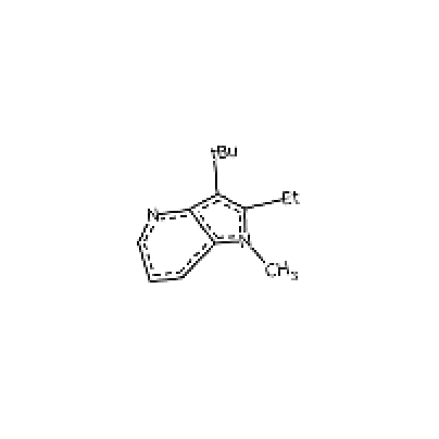 CCc1c(C(C)(C)C)c2ncccc2n1C